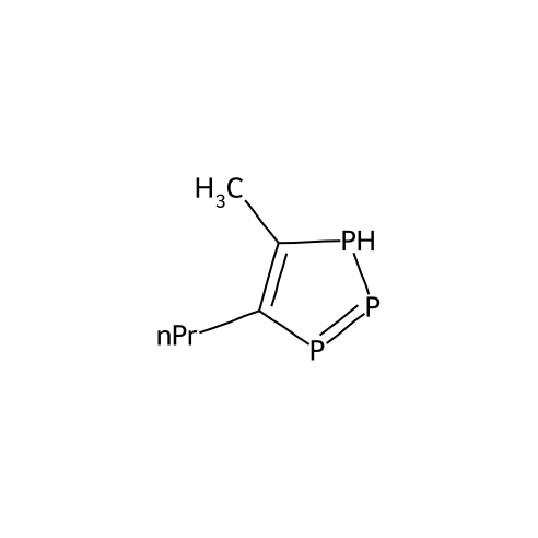 CCCc1pp[pH]c1C